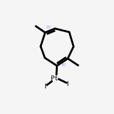 C/C1=C/CC/C(C)=[C](/[Pt]([I])[I])CC1